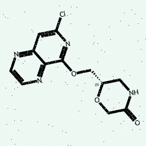 O=C1CO[C@H](COc2nc(Cl)cc3nccnc23)CN1